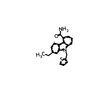 CCc1c[c]c2c3c(C(N)=O)cccc3n(Cc3cccs3)c2c1